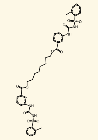 Cc1ccccc1S(=O)(=O)NC(=O)Nc1cccc(C(=O)OCCCCCCCCOC(=O)c2cccc(NC(=O)NS(=O)(=O)c3ccccc3C)c2)c1